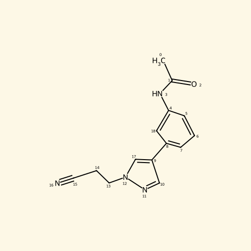 CC(=O)Nc1cccc(-c2cnn(CCC#N)c2)c1